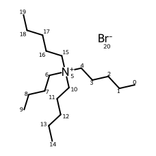 CCCCC[N+](CCCC)(CCCCC)CCCCC.[Br-]